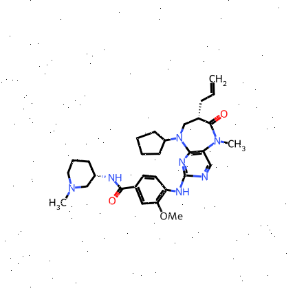 C=CC[C@H]1CN(C2CCCC2)c2nc(Nc3ccc(C(=O)N[C@H]4CCCN(C)C4)cc3OC)ncc2N(C)C1=O